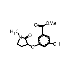 COC(=O)c1cc(O)cc(OC2CCN(C)C2=O)c1